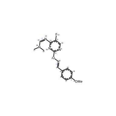 COc1ccc(/C=N/Oc2ncc(F)c(/N=C\N(C)C)n2)cc1